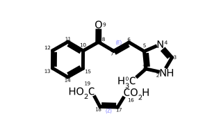 Cc1[nH]cnc1/C=C/C(=O)c1ccccc1.O=C(O)/C=C\C(=O)O